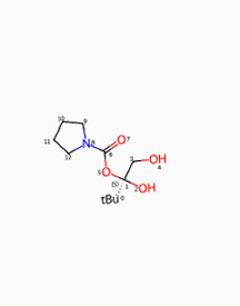 CC(C)(C)[C@@](O)(CO)OC(=O)N1CCCC1